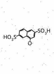 [O]c1cc(S(=O)(=O)O)cc2ccc(S(=O)(=O)O)cc12